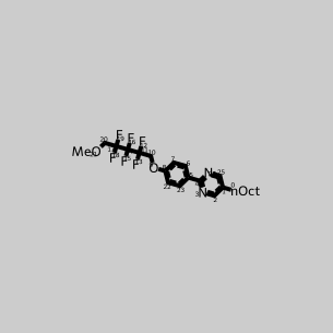 CCCCCCCCc1cnc(-c2ccc(OCC(F)(F)C(F)(F)C(F)(F)COC)cc2)nc1